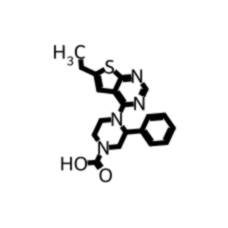 CCc1cc2c(N3CCN(C(=O)O)CC3c3ccccc3)ncnc2s1